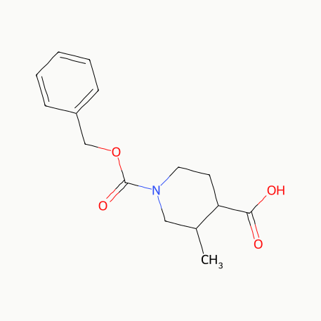 CC1CN(C(=O)OCc2ccccc2)CCC1C(=O)O